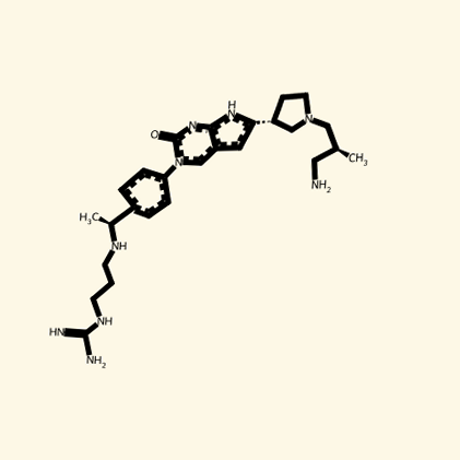 C[C@@H](CN)CN1CC[C@@H](c2cc3cn(-c4ccc([C@H](C)NCCCNC(=N)N)cc4)c(=O)nc3[nH]2)C1